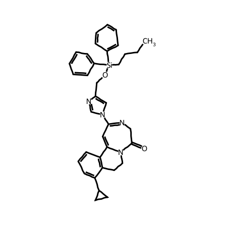 CCCC[Si](OCc1cn(C2=NCC(=O)N3CCc4c(cccc4C4CC4)C3=C2)cn1)(c1ccccc1)c1ccccc1